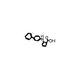 O=C(O)c1ccccc1Nc1ccc(-c2ccccc2)cc1